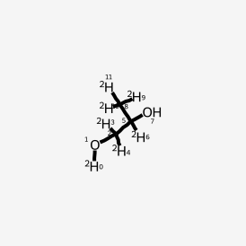 [2H]OC([2H])([2H])C([2H])(O)C([2H])([2H])[2H]